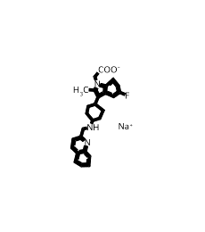 Cc1c(C2CCC(NCc3ccc4ccccc4n3)CC2)c2cc(F)ccc2n1CC(=O)[O-].[Na+]